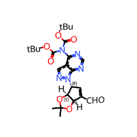 CC(C)(C)OC(=O)N(C(=O)OC(C)(C)C)c1ncnc2c1cnn2[C@@H]1C=C(C=O)[C@H]2OC(C)(C)O[C@H]21